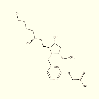 CCCCC[C@H](O)CC[C@@H]1[C@@H](Cc2cccc(OCC(=O)O)c2)[C@@H](CC)C[C@H]1O